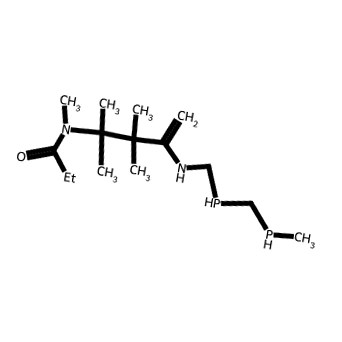 C=C(NCPCPC)C(C)(C)C(C)(C)N(C)C(=O)CC